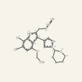 N#CCOc1cc(Cl)c(Cl)c2[nH]c(CN=[N+]=[N-])c(-c3cnn(C4CCCCO4)c3)c12